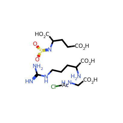 CC(=O)Cl.N=C(N)NCCCC(N)C(=O)O.NCC(=O)O.O=C(O)CCC(N=S(=O)=O)C(=O)O